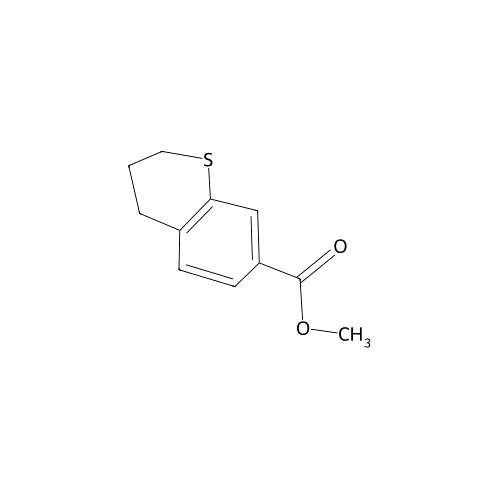 COC(=O)c1ccc2c(c1)SCCC2